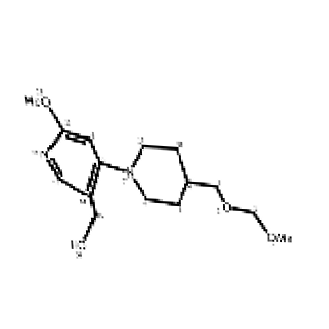 COCOCC1CCN(c2cc(OC)ncc2CO)CC1